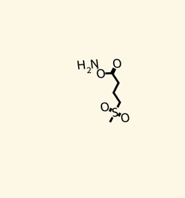 CS(=O)(=O)CCCC(=O)ON